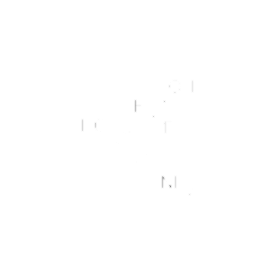 CC(N)c1cccc(C(F)(F)C(C)(C)O)c1.Cl